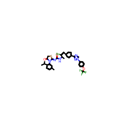 Cc1ccc(C(C)C)c(N2C(=O)CS/C2=N\C(=O)NC(C)/C(Br)=C\c2ccc(-c3ncn(-c4ccc(OC(F)(F)F)cc4)n3)cc2)c1